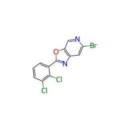 Clc1cccc(-c2nc3cc(Br)ncc3o2)c1Cl